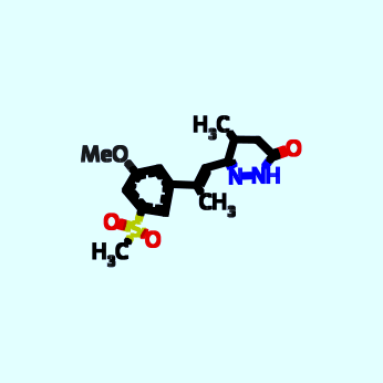 COc1cc(C(C)=CC2=NNC(=O)CC2C)cc(S(C)(=O)=O)c1